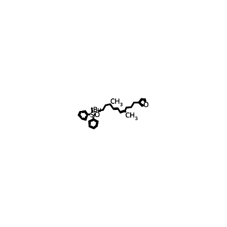 CC(=CC=CC(C)CCCO[Si](c1ccccc1)(c1ccccc1)C(C)(C)C)CCCc1ccoc1